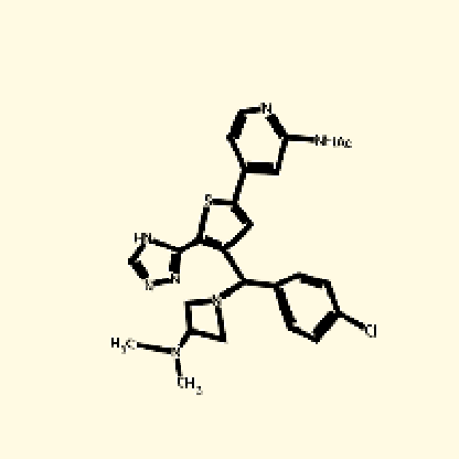 CC(=O)Nc1cc(-c2cc(C(c3ccc(Cl)cc3)N3CC(N(C)C)C3)c(-c3nnc[nH]3)s2)ccn1